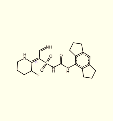 N=C/C(=C1\NCCCC1F)S(=O)(=O)NC(=O)Nc1c2c(cc3c1CCC3)CCC2